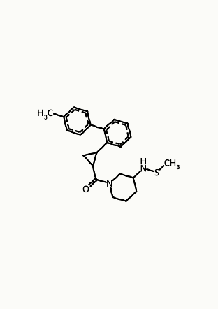 CSNC1CCCN(C(=O)C2CC2c2ccccc2-c2ccc(C)cc2)C1